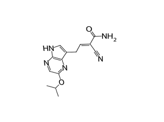 CC(C)Oc1cnc2[nH]cc(C/C=C(\C#N)C(N)=O)c2n1